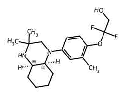 Cc1cc(N2CC(C)(C)N[C@@H]3CCCC[C@@H]32)ccc1OC(F)(F)CO